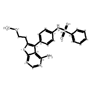 COCCc1sc2ncnc(N)c2c1-c1ccc(NS(=O)(=O)c2ccccc2)cc1